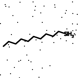 CCCCCCCCCC[SiH2]